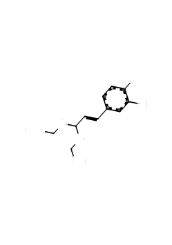 CCOC(C=Cc1ccc(F)c(Cl)c1)OCC